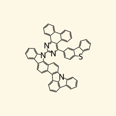 c1ccc2c(c1)sc1ccc(-c3nc(-n4c5ccccc5c5ccc6c(ccc7c6c6cccc8c9ccccc9n7c86)c54)nc4c5ccccc5c5ccccc5c34)cc12